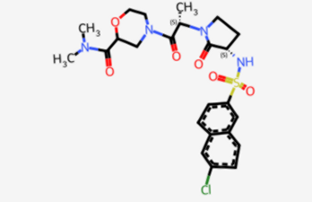 C[C@@H](C(=O)N1CCOC(C(=O)N(C)C)C1)N1CC[C@H](NS(=O)(=O)c2ccc3cc(Cl)ccc3c2)C1=O